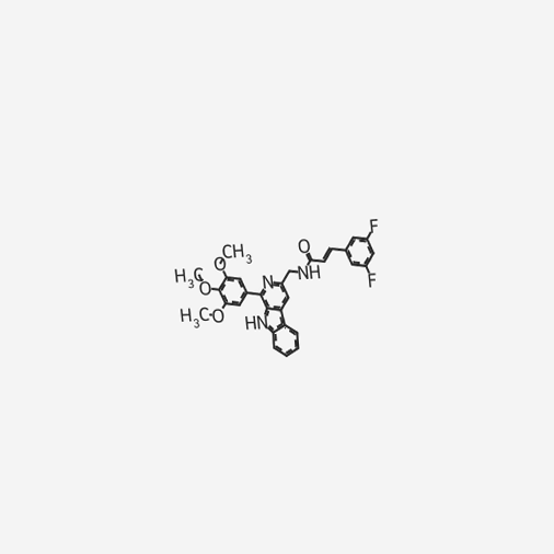 COc1cc(-c2nc(CNC(=O)/C=C/c3cc(F)cc(F)c3)cc3c2[nH]c2ccccc23)cc(OC)c1OC